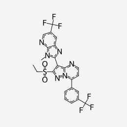 CCS(=O)(=O)c1nn2c(-c3cccc(C(F)(F)F)c3)ccnc2c1-c1nc2cc(C(F)(F)F)cnc2n1C